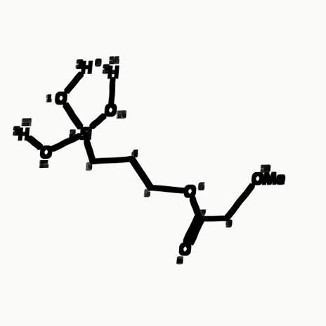 [3H]O[Si](CCCOC(=O)COC)(O[3H])O[3H]